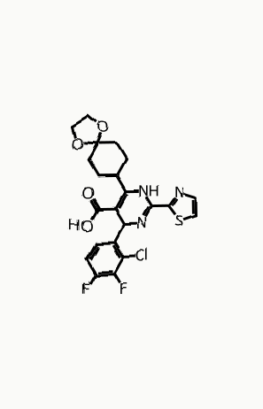 O=C(O)C1=C(C2CCC3(CC2)OCCO3)NC(c2nccs2)=NC1c1ccc(F)c(F)c1Cl